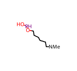 CNCCCCCCOPO